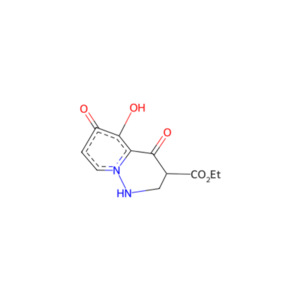 CCOC(=O)C1CNn2ccc(=O)c(O)c2C1=O